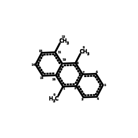 Cc1c2ccccc2c(C)c2c(C)cccc12